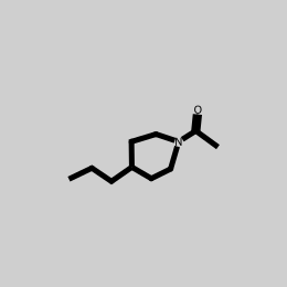 CCCC1CCN(C(C)=O)CC1